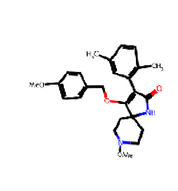 COc1ccc(COC2=C(c3cc(C)ccc3C)C(=O)NC23CCN(OC)CC3)cc1